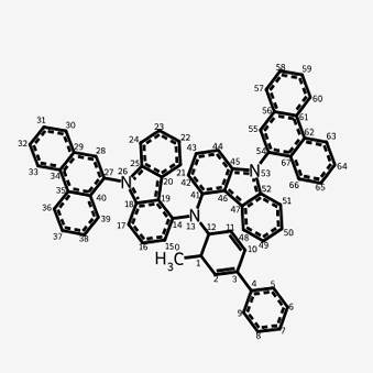 CC1C=C(c2ccccc2)C=CC1N(c1cccc2c1c1ccccc1n2-c1cc2ccccc2c2ccccc12)c1cccc2c1c1ccccc1n2-c1cc2ccccc2c2ccccc12